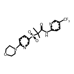 CC(C)(C(=O)Nc1ccc(C(F)(F)F)cn1)S(=O)(=O)c1ccc(N2CCOCC2)nc1